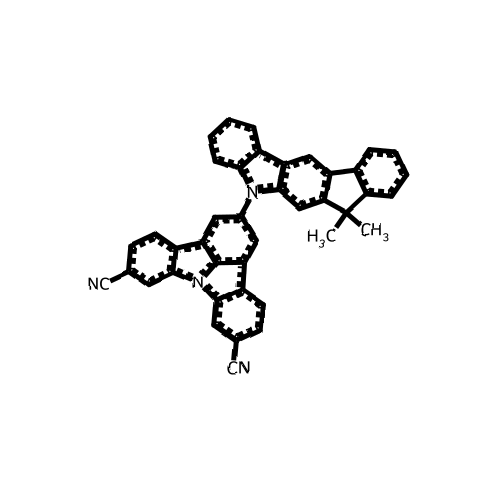 CC1(C)c2ccccc2-c2cc3c4ccccc4n(-c4cc5c6ccc(C#N)cc6n6c7cc(C#N)ccc7c(c4)c56)c3cc21